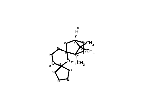 CC1(C)[C@@H]2CC[C@@]1(C)[C@@]1(CCOC3(CCCC3)O1)C2